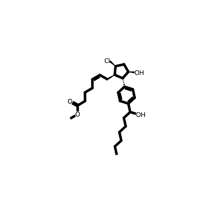 CCCCCCC(O)c1ccc([C@@H]2[C@@H](C/C=C\CCCC(=O)OC)[C@@H](Cl)C[C@H]2O)cc1